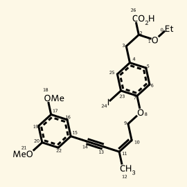 CCOC(Cc1ccc(OCC=C(C)C#Cc2cc(OC)cc(OC)c2)c(I)c1)C(=O)O